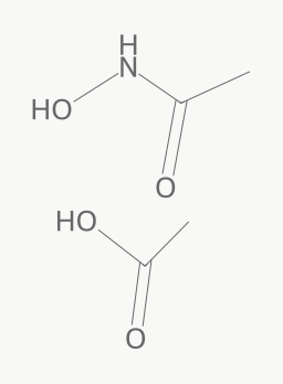 CC(=O)NO.CC(=O)O